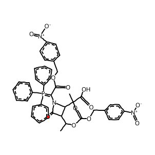 CC(OC(=O)OCc1ccc([N+](=O)[O-])cc1)C1C(=O)N(C(C(=O)OCc2ccc([N+](=O)[O-])cc2)=P(c2ccccc2)(c2ccccc2)c2ccccc2)C1C(C)(C)C(=O)O